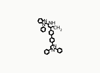 C=C/C(=C\C(=N)c1nc2ccccc2n1-c1ccccc1)C1C=CC(c2ccc(-c3cc(-c4ccccc4)nc(-c4ccccc4)n3)cc2)=CC1